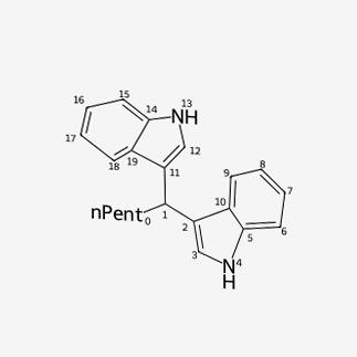 CCCCCC(c1c[nH]c2ccccc12)c1c[nH]c2ccccc12